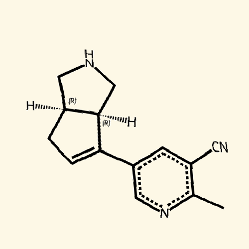 Cc1ncc(C2=CC[C@H]3CNC[C@@H]23)cc1C#N